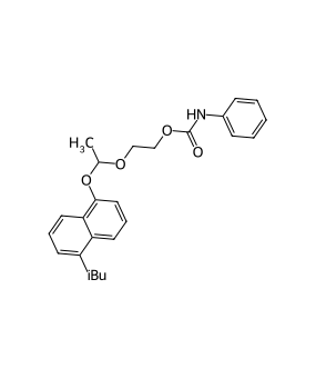 CCC(C)c1cccc2c(OC(C)OCCOC(=O)Nc3ccccc3)cccc12